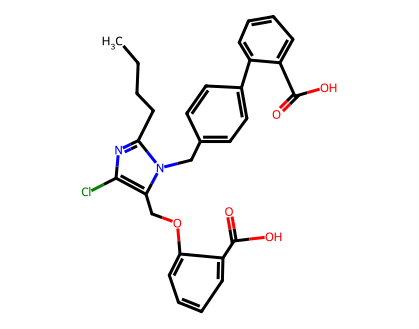 CCCCc1nc(Cl)c(COc2ccccc2C(=O)O)n1Cc1ccc(-c2ccccc2C(=O)O)cc1